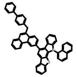 c1ccc(-c2ccc(Cc3cc4ccccc4c4cc(-c5cc6c7ccccc7sc6c6c5c5ccccc5n6-c5cccc6ccccc56)ccc34)cc2)cc1